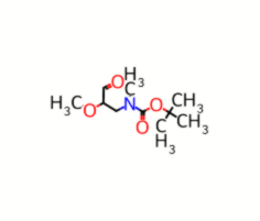 COC(C=O)CN(C)C(=O)OC(C)(C)C